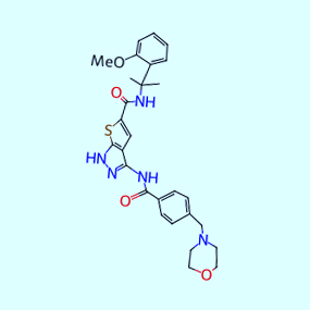 COc1ccccc1C(C)(C)NC(=O)c1cc2c(NC(=O)c3ccc(CN4CCOCC4)cc3)n[nH]c2s1